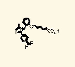 Cc1cnc(-c2ccc(C(F)F)cc2)n1Cc1ccccc1OCCCCCC(=O)O